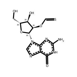 Nc1nc2c(ncn2[C@@H]2O[C@H](CO)[C@@H](O)[C@H]2OC=S)c(=O)[nH]1